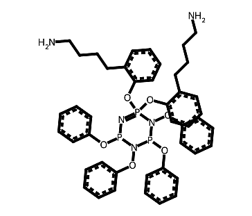 NCCCCc1ccccc1OP1(Oc2ccccc2CCCCN)=NP(Oc2ccccc2)N(Oc2ccccc2)P(Oc2ccccc2)N1Oc1ccccc1